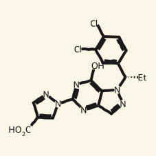 CC[C@@H](c1ccc(Cl)c(Cl)c1)n1ncc2nc(-n3cc(C(=O)O)cn3)nc(O)c21